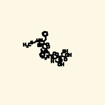 CSCCC(=O)N[C@@H](Cc1ccccc1)C(=O)N[C@@H](Cc1ccccc1)C(=O)NC[C@H](N)C(=O)N[C@@H](CC(=O)O)C(=O)N[C@@H](CS)C(=O)O